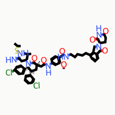 COc1cc(NC(=O)C[C@@]2(C)C[C@H](c3cccc(Cl)c3)[C@@H](c3ccc(Cl)cc3)N(C(CC(=N)NSC(C)C)C(C)C)C2=O)ccc1C(=O)NCCCCCc1cccc2c1CN(C1CCC(=O)NC1=O)C2=O